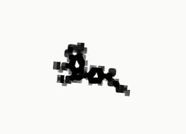 CCOC(=O)c1ccc(-n2cc(C)c3c(C)c(OC)c(C)cc32)cc1